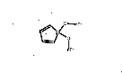 CCCO[Si]1(OCCC)C=CC=C1